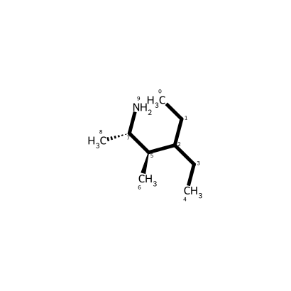 CCC(CC)[C@@H](C)[C@H](C)N